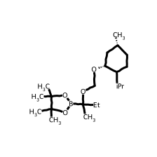 CCC(C)(OCO[C@@H]1C[C@H](C)CCC1C(C)C)B1OC(C)(C)C(C)(C)O1